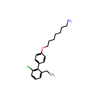 CCc1cccc(Cl)c1-c1ccc(OCCCCCCCN)cc1